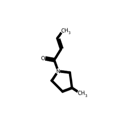 C/C=C/C(=O)N1CCC(C)C1